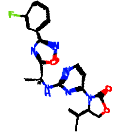 CC(C)C1COC(=O)N1c1ccnc(N[C@@H](C)c2nc(-c3cccc(F)c3)no2)n1